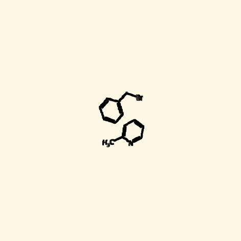 BrCc1ccccc1.Cc1ccccn1